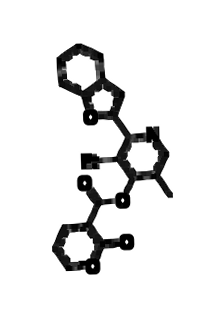 CCc1c(-c2cc3ccccc3o2)ncc(C)c1OC(=O)c1cccoc1=O